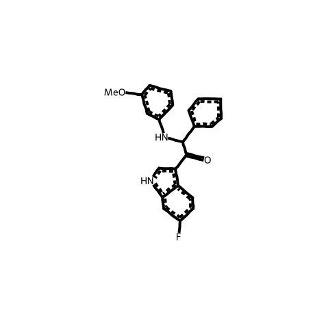 COc1cccc(NC(C(=O)c2c[nH]c3cc(F)ccc23)c2ccccc2)c1